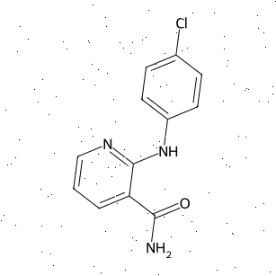 NC(=O)c1cccnc1Nc1ccc(Cl)cc1